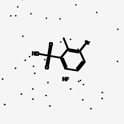 Cc1c(Br)cccc1S(=O)(=O)O.F